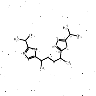 CC(C)c1ncc(C(C)CCC(C)c2nnc(C(C)C)o2)[nH]1